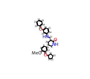 COc1ccc([C@H]2CNC(=O)[C@H](CNc3cccc(Oc4ccccc4)c3)C2)cc1OC1CCCC1